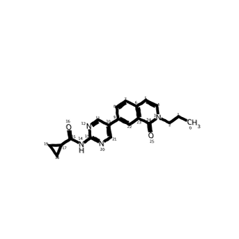 CCCn1ccc2ccc(-c3cnc(NC(=O)C4CC4)nc3)cc2c1=O